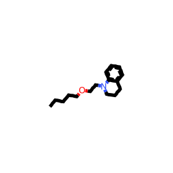 CCCCCOCCN1CCCc2ccccc21